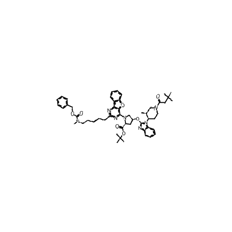 C[C@H]1CN(C(=O)CC(C)(C)C)CCC1n1c(O[C@H]2C[C@@H](C(=O)OC(C)(C)C)N(c3nc(CCCCCN(C)C(=O)OCc4ccccc4)nc4c3oc3ccccc34)C2)nc2ccccc21